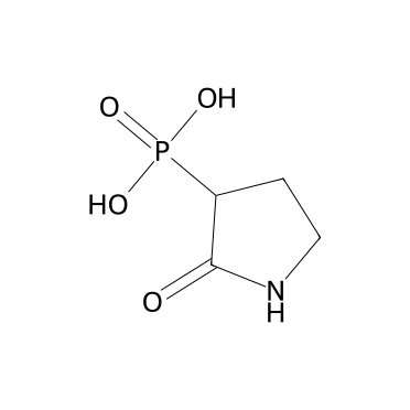 O=C1NCCC1P(=O)(O)O